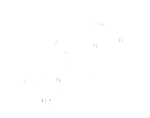 CCN(CC)c1c([O-])[c+](N(CC)CC)[c+]1[O-]